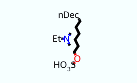 CCCCCCCCCCCCCCCCOS(=O)(=O)O.CCN(C)C